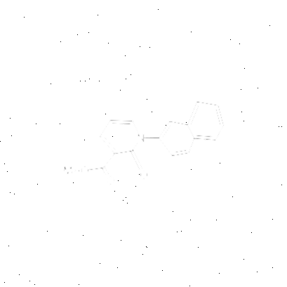 COC(=O)c1cccn(-c2ccc3ccccc3c2)c1=O